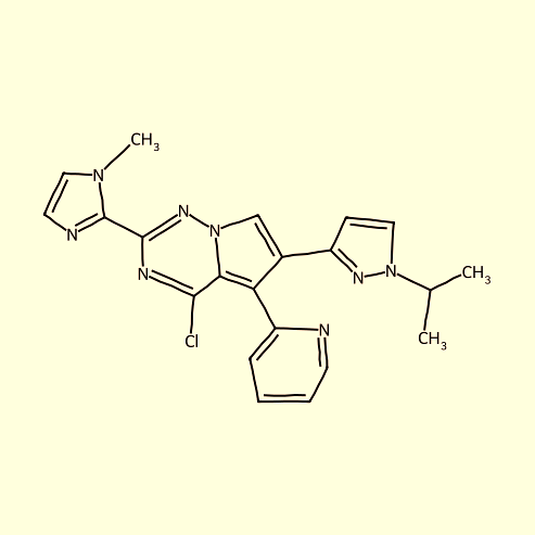 CC(C)n1ccc(-c2cn3nc(-c4nccn4C)nc(Cl)c3c2-c2ccccn2)n1